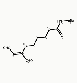 CCCCNC(=O)OCCCO/C(C=O)=C\C=O